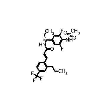 CCCc1cc(C(F)(F)F)ccc1C=CC(=O)N[C@H](CC)c1cc(F)c(NS(C)(=O)=O)c(F)c1